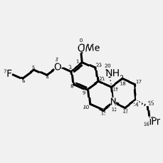 COC1=C(OCCCF)C=C2CCN3C[C@@H](CC(C)C)CC[C@]3(N)C2C1